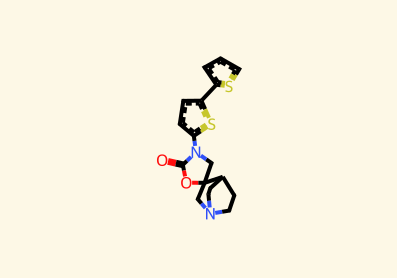 O=C1OC2(CN3CCC2CC3)CN1c1ccc(-c2cccs2)s1